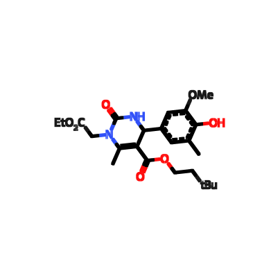 CCOC(=O)CN1C(=O)NC(c2cc(C)c(O)c(OC)c2)C(C(=O)OCCC(C)(C)C)=C1C